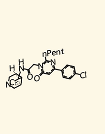 CCCCCc1nc(-c2ccc(Cl)cc2)cc(=O)n1CC(=O)N[C@@H]1CN2CCC1CC2